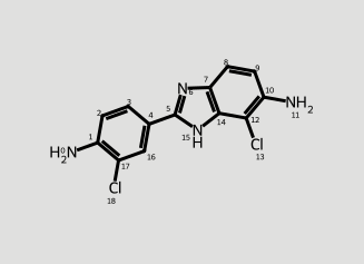 Nc1ccc(-c2nc3ccc(N)c(Cl)c3[nH]2)cc1Cl